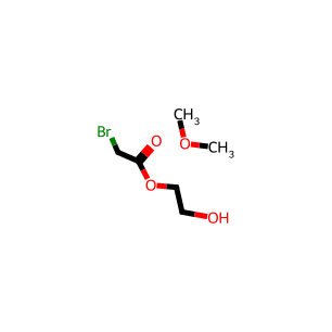 COC.O=C(CBr)OCCO